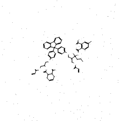 C=CC(=O)OCC(COc1ccc(C2(c3ccc(OCC(COC(=O)C=C)C(C)(CCC)OC(=O)c4ccc(C)cc4C(=O)O)cc3)c3ccccc3-c3ccccc32)cc1)OC(=O)C1CC=CCC1C(=O)O